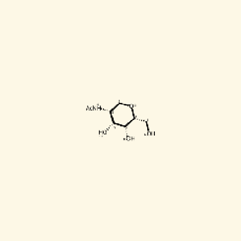 CC(=O)N[C@@H]1CO[C@H](CO)[C@H](O)[C@@H]1O